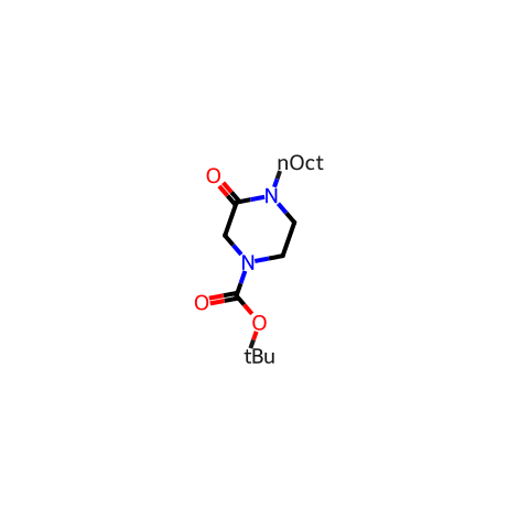 CCCCCCCCN1CCN(C(=O)OC(C)(C)C)CC1=O